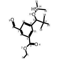 CCOC(=O)c1cc(C=O)cc(C(O[SiH](C)C)C(C)(C)C)c1